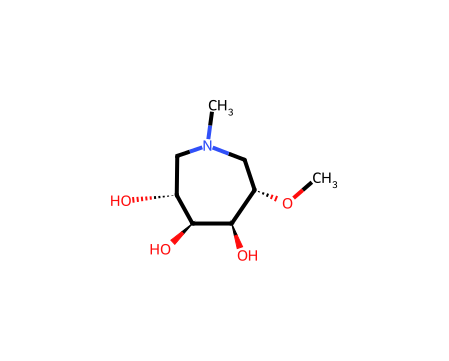 CO[C@H]1CN(C)C[C@@H](O)[C@H](O)[C@@H]1O